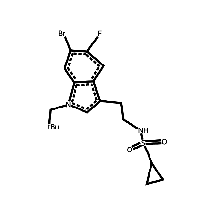 CC(C)(C)Cn1cc(CCNS(=O)(=O)C2CC2)c2cc(F)c(Br)cc21